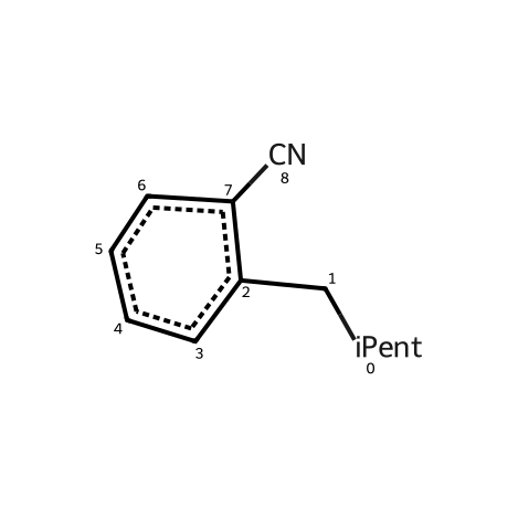 CCCC(C)Cc1ccccc1C#N